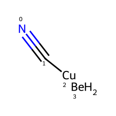 N#[C][Cu].[BeH2]